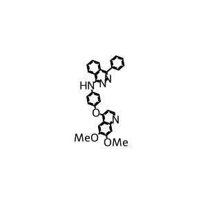 COc1cc2nccc(Oc3ccc(Nc4nnc(-c5ccccc5)c5ccccc45)cc3)c2cc1OC